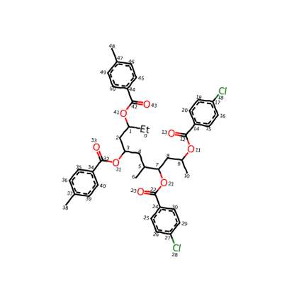 CCC(CC(CC(C)C(CC(C)OC(=O)c1ccc(Cl)cc1)OC(=O)c1ccc(Cl)cc1)OC(=O)c1ccc(C)cc1)OC(=O)c1ccc(C)cc1